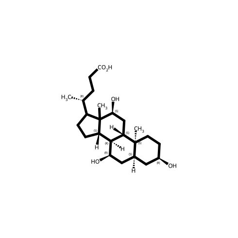 C[C@H](CCC(=O)O)C1CC[C@H]2[C@@H]3[C@H](O)C[C@@H]4C[C@H](O)CC[C@]4(C)[C@H]3C[C@H](O)C12C